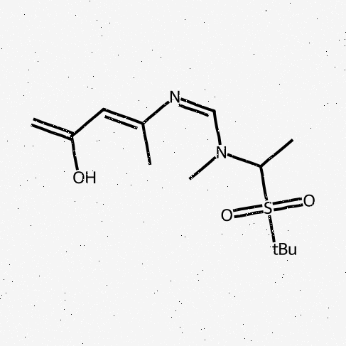 C=C(O)/C=C(C)/N=C\N(C)C(C)S(=O)(=O)C(C)(C)C